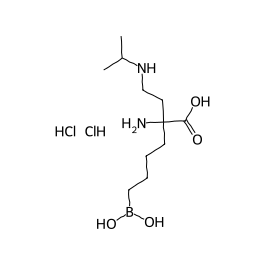 CC(C)NCCC(N)(CCCCB(O)O)C(=O)O.Cl.Cl